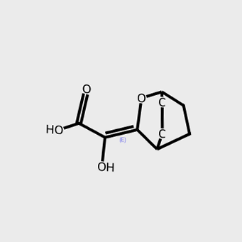 O=C(O)/C(O)=C1\OC2CCC1CC2